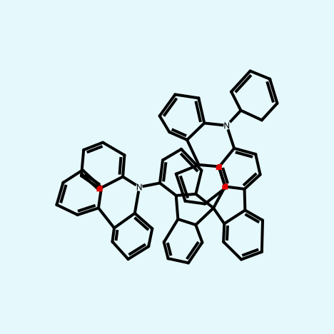 C1=CCC(N(c2ccc3c(c2)C2(c4ccccc4-3)C3C=CC=CC3C3C(N(c4ccccc4)c4ccccc4-c4ccccc4)=CC=CC32)c2ccccc2C2C=CCCC2)C=C1